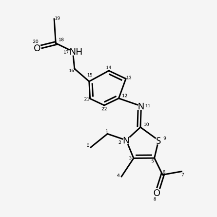 CCn1c(C)c(C(C)=O)sc1=Nc1ccc(CNC(C)=O)cc1